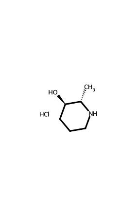 C[C@@H]1NCCC[C@H]1O.Cl